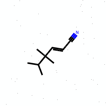 CC(C)C(C)(C)/C=C/C#N